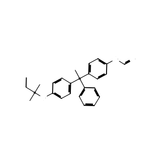 CCC(C)(C)Oc1ccc(C(C)(c2ccccc2)c2ccc(OC=O)cc2)cc1